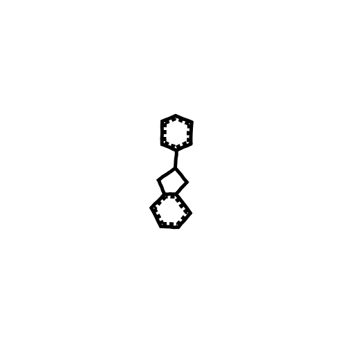 [C]1c2ccccc2CC1c1ccccc1